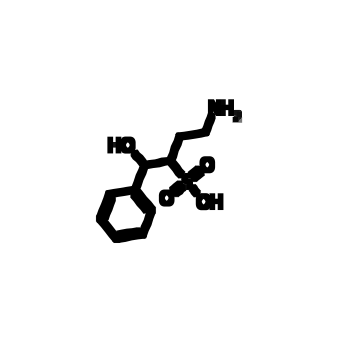 NCCC(C(O)c1ccccc1)S(=O)(=O)O